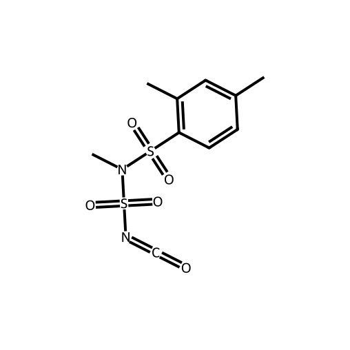 Cc1ccc(S(=O)(=O)N(C)S(=O)(=O)N=C=O)c(C)c1